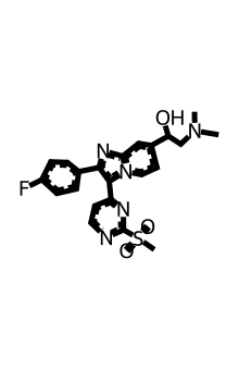 CN(C)CC(O)c1ccn2c(-c3ccnc(S(C)(=O)=O)n3)c(-c3ccc(F)cc3)nc2c1